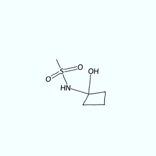 CS(=O)(=O)NC1(O)CCC1